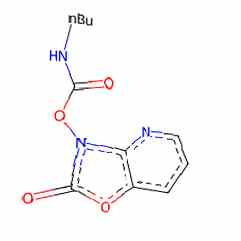 CCCCNC(=O)On1c(=O)oc2cccnc21